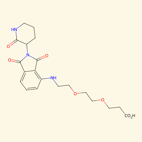 O=C(O)CCOCCOCCNc1cccc2c1C(=O)N(C1CCCNC1=O)C2=O